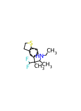 CCNC(C)C(C)(c1ccc2c(c1)CCS2)C(F)F